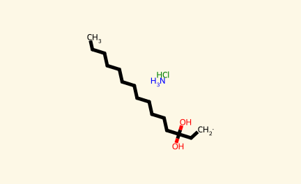 Cl.N.[CH2]CC(O)(O)CCCCCCCCCCCC